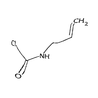 C=CCNC(=O)Cl